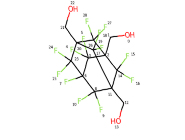 OCC12C(F)(F)C3(F)C(F)(F)C(CO)(C1(F)F)C(F)(F)C(CO)(C3(F)F)C2(F)F